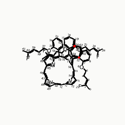 CC(F)=CCCOc1ccccc1-c1c(-c2ccccc2OCCC=C(C)F)c2c(-c3ccccc3OCCC=C(C)F)c3nc(cc4ccc(cc5nc(cc1n2-c1ccccc1OCCC=C(C)F)C=C5)[nH]4)C=C3